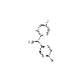 Cc1ccc(C(O)c2ccc(F)cc2)c(C)c1